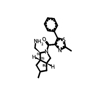 Cc1nc(C(=O)N2C[C@@H]3CC(C)C[C@@H]3[C@H]2CN)c(-c2ccccc2)s1